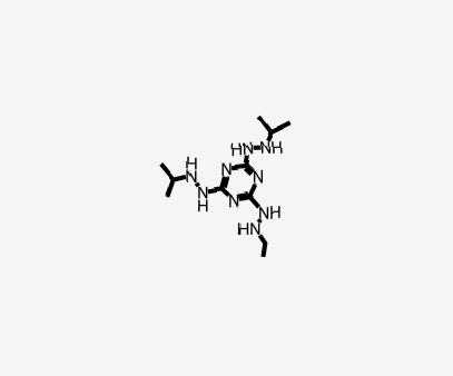 CCNNc1nc(NNC(C)C)nc(NNC(C)C)n1